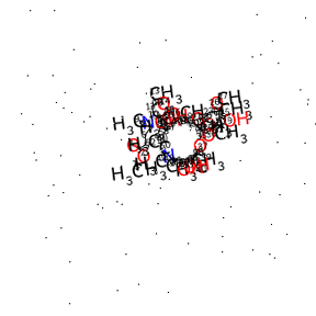 CCOC(=O)CCCN(C)[C@H]1C[C@@H](C)O[C@@H](O[C@@H]2[C@@H](C)[C@H](O[C@H]3C[C@@](C)(OC)[C@@H](O)[C@H](C)O3)[C@@H](C)C(=O)O[C@H](CC)[C@@](C)(O)[C@H](O)[C@@H](C)N(C)C[C@H](C)C[C@@]2(C)O)[C@@H]1O